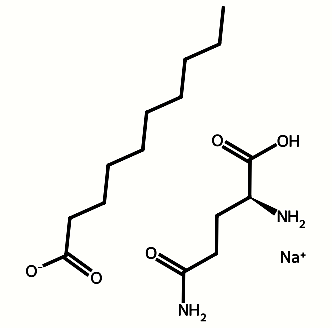 CCCCCCCCCC(=O)[O-].NC(=O)CC[C@H](N)C(=O)O.[Na+]